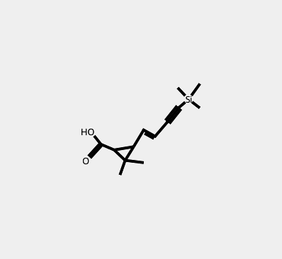 CC1(C)C(C=CC#C[Si](C)(C)C)C1C(=O)O